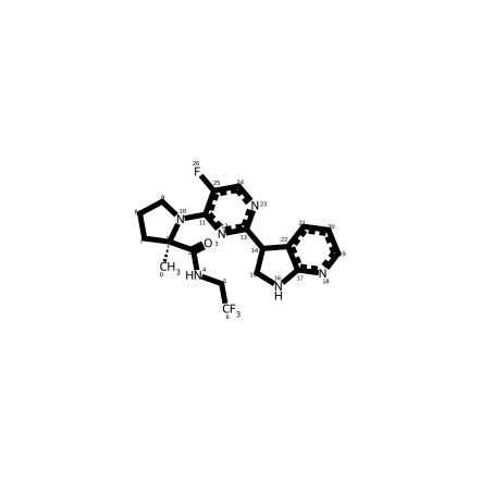 C[C@]1(C(=O)NCC(F)(F)F)CCCN1c1nc(C2CNc3ncccc32)ncc1F